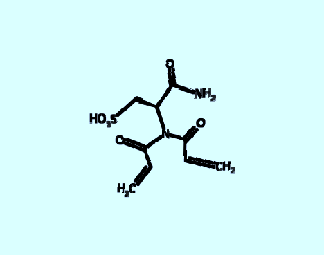 C=CC(=O)N(C(=O)C=C)[C@@H](CS(=O)(=O)O)C(N)=O